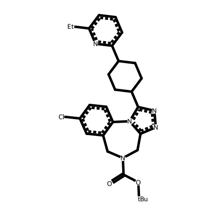 CCc1cccc(C2CCC(c3nnc4n3-c3ccc(Cl)cc3CN(C(=O)OC(C)(C)C)C4)CC2)n1